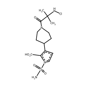 CC(C)(NCl)C(=O)N1CCC(c2ccn(S(N)(=O)=O)c2C(=O)O)CC1